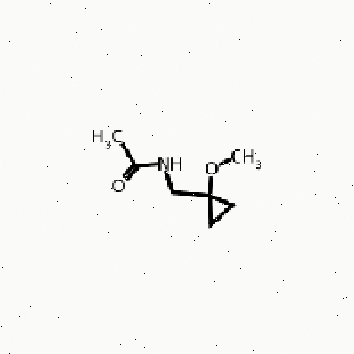 COC1(CNC(C)=O)CC1